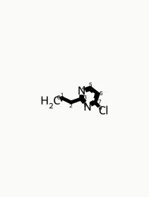 C=CCc1nccc(Cl)n1